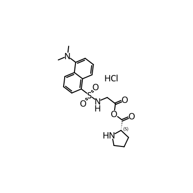 CN(C)c1cccc2c(S(=O)(=O)NCC(=O)OC(=O)[C@@H]3CCCN3)cccc12.Cl